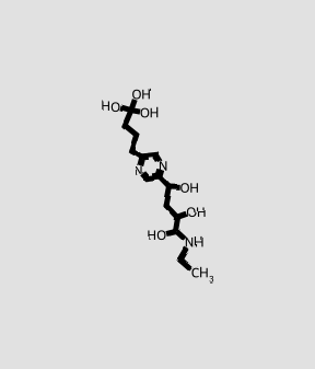 CCNC(O)C(O)CC(O)c1cnc(CCCC(O)(O)O)cn1